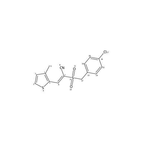 Cc1ccsc1C=C(C#N)S(=O)(=O)Cc1ccc(Cl)cc1